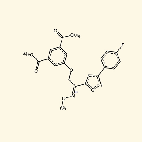 CCCO/N=C(\COc1cc(C(=O)OC)cc(C(=O)OC)c1)c1cc(-c2ccc(F)cc2)no1